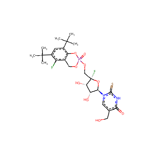 CC(C)(C)c1cc(C(C)(C)C)c2c(c1F)COP(=O)(OC[C@@]1(F)O[C@@H](n3cc(CO)c(=O)[nH]c3=S)[C@H](O)[C@@H]1O)O2